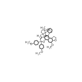 COc1ccc(C2(c3ccc(OC)cc3)C=Cc3c4c(c5c6c(c(OC)cc5c3O2)OCC6)-c2ccccc2C42C(C)(C)CCC2(C)C)cc1